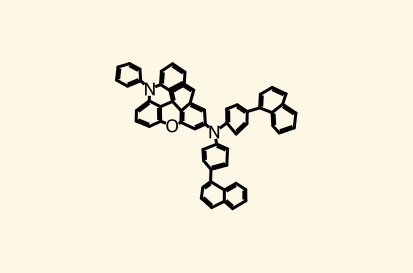 c1ccc(N(c2ccccc2)c2cccc3c2-c2cccc4cc(N(c5ccc(-c6cccc7ccccc67)cc5)c5ccc(-c6cccc7ccccc67)cc5)cc(c24)O3)cc1